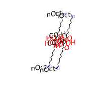 CCCCCCCC/C=C\CCCCCCCC(=O)C(O)C(O)C(O)C(=O)CCCCCCC/C=C\CCCCCCCC.CCCCCCCC/C=C\CCCCCCCC(=O)C(O)C(O)C(O)C(=O)CCCCCCC/C=C\CCCCCCCC.O=C(O)CCC(=O)O